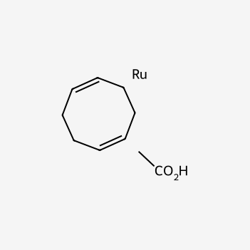 C1=CCCC=CCC1.CC(=O)O.[Ru]